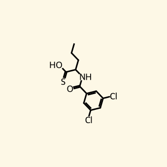 CCCC(NC(=O)c1cc(Cl)cc(Cl)c1)C(O)=S